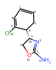 NC1=N[C@@H](C2CC=CC=C2Cl)CO1